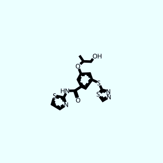 CC(CO)Oc1cc(Sc2nncs2)cc(C(=O)Nc2nccs2)c1